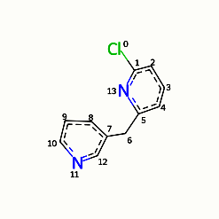 Clc1cccc(Cc2cccnc2)n1